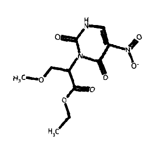 CCOC(=O)C(COC)n1c(=O)[nH]cc([N+](=O)[O-])c1=O